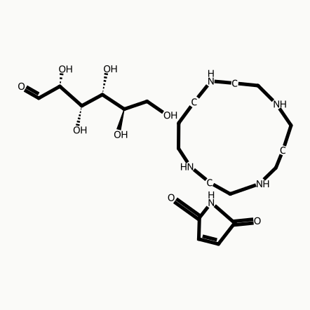 C1CNCCNCCCNCCNC1.O=C1C=CC(=O)N1.O=C[C@H](O)[C@@H](O)[C@H](O)[C@H](O)CO